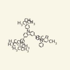 C[C@@H]1C=CC(C)(N(c2ccccc2)c2ccc(-c3ccc4c(c3)c3cc(-c5ccc(C(CC(C)(C)C)C(C)(C)C)cc5)ccc3n4-c3ccc(C(C)(C)C)cc3)cc2)C2=CC=C21